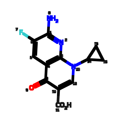 Nc1nc2c(cc1F)c(=O)c(C(=O)O)cn2C1CC1